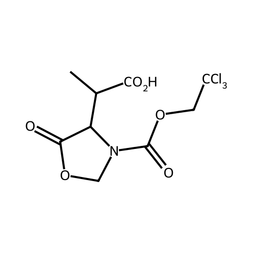 CC(C(=O)O)C1C(=O)OCN1C(=O)OCC(Cl)(Cl)Cl